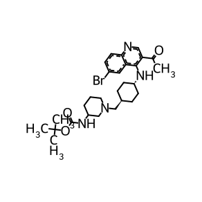 CC(=O)c1cnc2ccc(Br)cc2c1N[C@H]1CC[C@H](CN2CCCC(NC(=O)OC(C)(C)C)C2)CC1